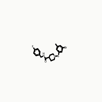 Cc1cc(Br)cc(SN2CCC(C(=O)NCc3ccc(F)cc3)CC2)c1